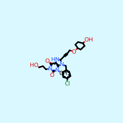 Cn1c2c(c(=O)n(CCCO)c1=O)NC(C#CCOC1CCC(O)CC1)N2Cc1ccc(Cl)cc1